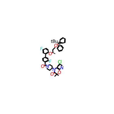 C[C@H](CCO[Si](c1ccccc1)(c1ccccc1)C(C)(C)C)Oc1ccc(F)cc1-c1ccc(C(=O)N2CCC(N3C(=O)C(C)(C)Oc4ncc(Cl)cc43)CC2)c(F)c1